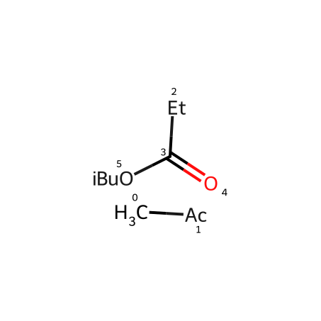 CC(C)=O.CCC(=O)OCC(C)C